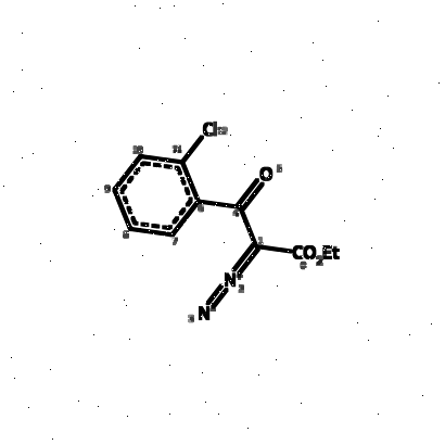 CCOC(=O)C(=[N+]=[N-])C(=O)c1ccccc1Cl